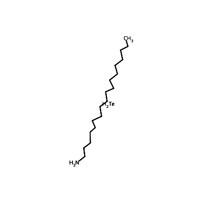 CCCCCCCCCCCCCCCCCCN.[TeH2]